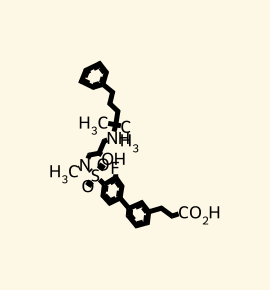 CN(CC(O)CNC(C)(C)CCCc1ccccc1)S(=O)(=O)c1ccc(-c2cccc(CCC(=O)O)c2)cc1F